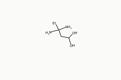 CCC(N)(N)CC(O)O